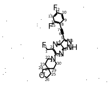 FCc1nc2c(C#Cc3ccc(F)cc3F)n[nH]c2nc1N1CCC2(CCOC2)CC1